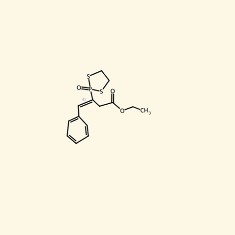 CCOC(=O)C/C(=C\c1ccccc1)P1(=O)SCCS1